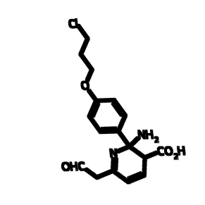 NC1(c2ccc(OCCCCl)cc2)N=C(CC=O)C=CC1C(=O)O